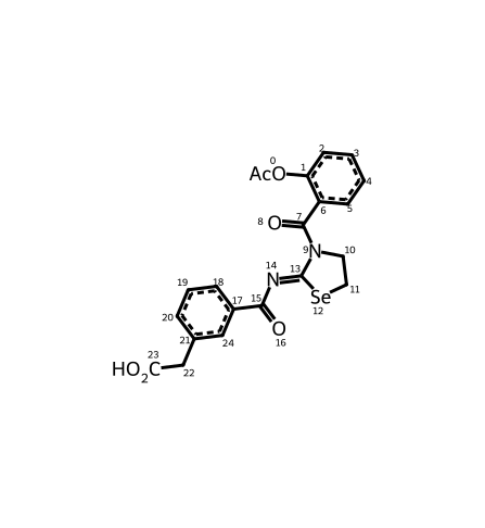 CC(=O)Oc1ccccc1C(=O)N1CC[Se]C1=NC(=O)c1cccc(CC(=O)O)c1